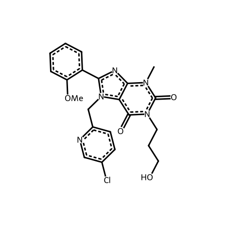 COc1ccccc1-c1nc2c(c(=O)n(CCCO)c(=O)n2C)n1Cc1ccc(Cl)cn1